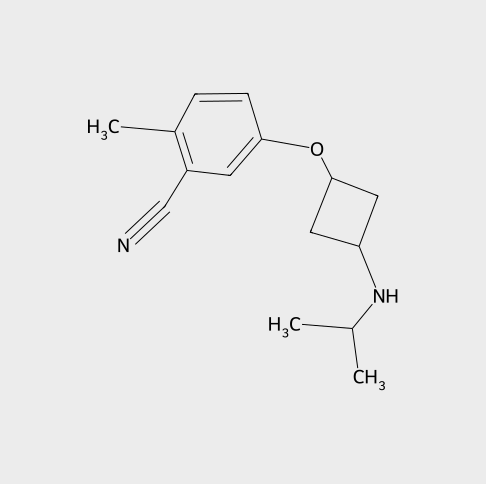 Cc1ccc(OC2CC(NC(C)C)C2)cc1C#N